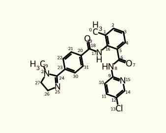 Cc1cccc(C(=O)Nc2ccc(Cl)cn2)c1NC(=O)c1ccc(C2=NCCN2C)cc1